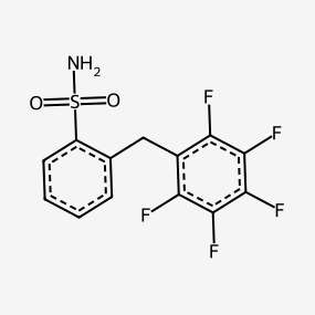 NS(=O)(=O)c1ccccc1Cc1c(F)c(F)c(F)c(F)c1F